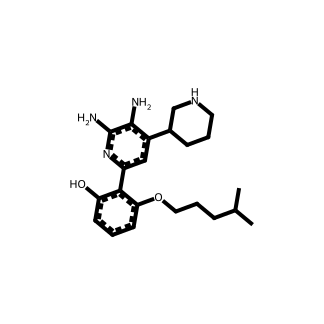 CC(C)CCCOc1cccc(O)c1-c1cc(C2CCCNC2)c(N)c(N)n1